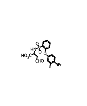 Cc1cc(Oc2ccccc2S(=O)(=O)NC(CC=O)C(=O)O)ccc1C(C)C